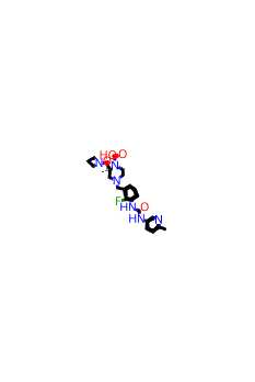 Cc1ccc(NC(=O)Nc2cccc(CN3CCN(C(=O)O)[C@](C)(C(=O)N4CCC4)C3)c2F)cn1